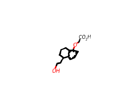 O=C(O)COc1cccc2c1CCCC2CCO